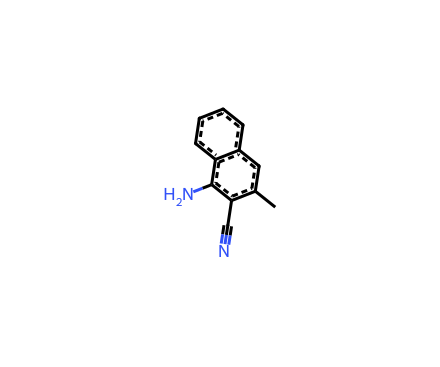 Cc1cc2ccccc2c(N)c1C#N